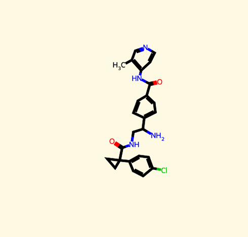 Cc1cnccc1NC(=O)c1ccc(C(N)CNC(=O)C2(c3ccc(Cl)cc3)CC2)cc1